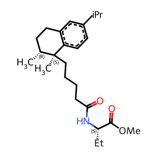 CC[C@H](NC(=O)CCCC[C@]1(C)c2ccc(C(C)C)cc2CC[C@H]1C)C(=O)OC